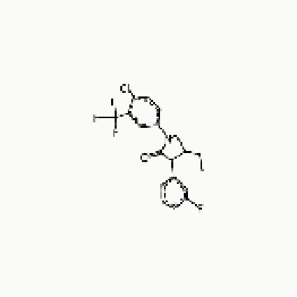 CCC1CN(c2ccc(Cl)c(C(F)(F)F)c2)C(=O)C1c1cccc(F)c1